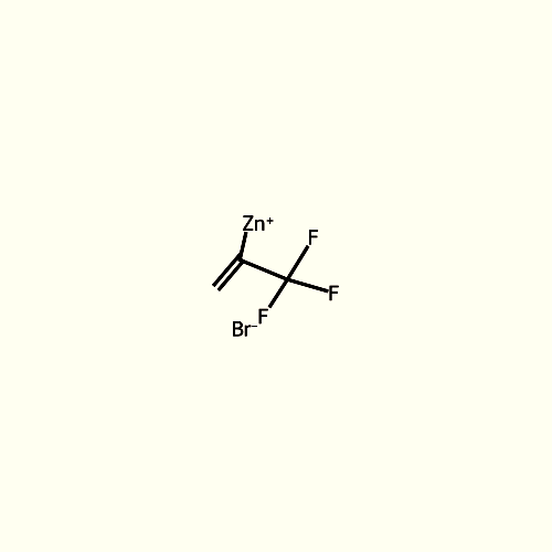 C=[C]([Zn+])C(F)(F)F.[Br-]